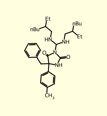 CCCCC(CC)CNC(NCC(CC)CCCC)N1C(=O)NC(Cc2ccccc2)(c2ccc(C)cc2)C1=O